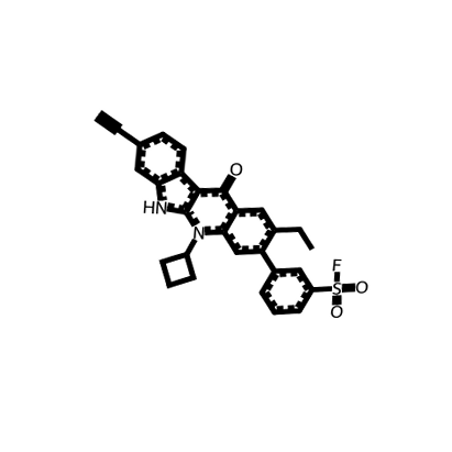 C#Cc1ccc2c(c1)[nH]c1c2c(=O)c2cc(CC)c(-c3cccc(S(=O)(=O)F)c3)cc2n1C1CCC1